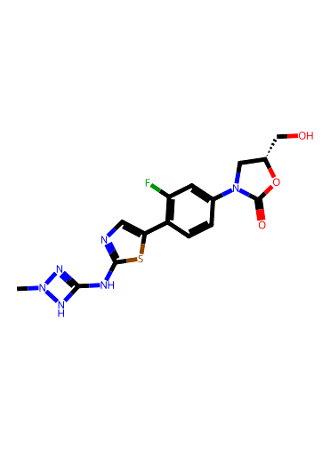 Cn1nc(Nc2ncc(-c3ccc(N4C[C@H](CO)OC4=O)cc3F)s2)[nH]1